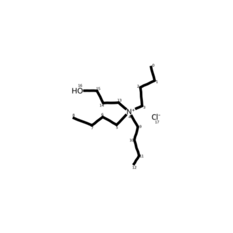 CCCC[N+](CCCC)(CCCC)CCCO.[Cl-]